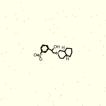 O=[N+]([O-])c1cccc(C(O)CN2CC[C@H]3CCCC[C@@H]3C2)c1